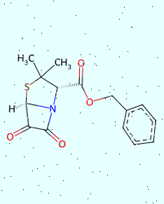 CC1(C)S[C@@H]2C(=O)C(=O)N2[C@H]1C(=O)OCc1ccccc1